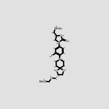 COCOC[C@H]1COC2(CCN(c3ccc(N4CC(CNC(C)=O)OC4=O)cc3F)CC2)O1